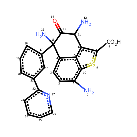 Nc1ccc2c3c(c(C(=O)O)sc13)C(N)C(=O)C2(N)c1cccc(-c2ccccn2)c1